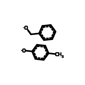 Cc1ccc([O])cc1.[O]Cc1ccccc1